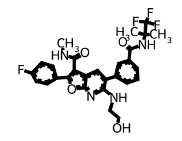 CNC(=O)c1c(-c2ccc(F)cc2)oc2nc(NCCO)c(-c3cccc(C(=O)NC(C)(C)C(F)(F)F)c3)cc12